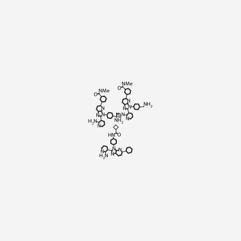 CNC(=O)c1cccc(-c2ccc3nc(-c4cccnc4N)n(-c4ccc(C5(N)CCC5)cc4)c3n2)c1.CNC(=O)c1cccc(-c2ccc3nc(-c4cccnc4N)n(-c4ccc(CN)cc4)c3n2)c1.Nc1ncccc1-c1nc2ccc(-c3ccccc3)nc2n1-c1ccc(NC(=O)C2CCC2)cc1